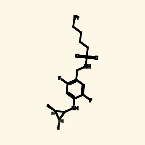 CC(C)CCCCS(=O)(=O)NCc1cc(F)c(NC2[C@H](C)[C@H]2C)cc1F